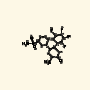 Cc1ccc(-c2c(F)c(F)c(F)c(F)c2-c2ccc(S(N)(=O)=O)cc2)cc1Cl